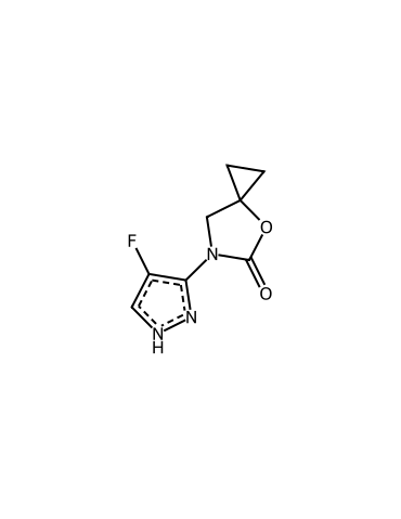 O=C1OC2(CC2)CN1c1n[nH]cc1F